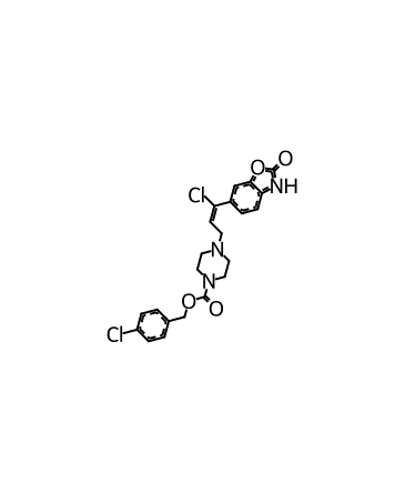 O=C(OCc1ccc(Cl)cc1)N1CCN(C/C=C(/Cl)c2ccc3[nH]c(=O)oc3c2)CC1